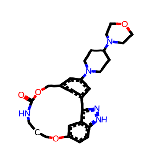 O=C1NCCCOc2ccc3[nH]nc(c3c2)-c2cc(cc(N3CCC(N4CCOCC4)CC3)c2)CO1